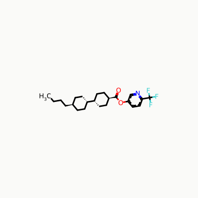 CCCC[C@H]1CC[C@H]([C@H]2CC[C@H](C(=O)Oc3ccc(C(F)(F)F)nc3)CC2)CC1